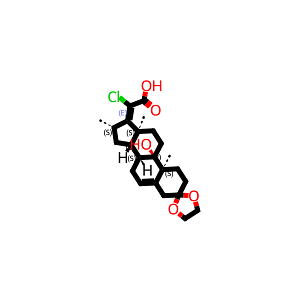 C[C@H]1C[C@H]2[C@@H]3CC=C4CC5(CC[C@]4(C)[C@@]3(O)CC[C@]2(C)/C1=C(/Cl)C(=O)O)OCCO5